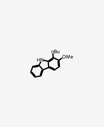 CCCCc1c(OC)ccc2c1[nH]c1ccccc12